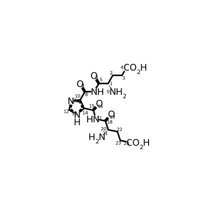 N[C@@H](CCC(=O)O)C(=O)NC(=O)c1nc[nH]c1C(=O)NC(=O)[C@@H](N)CCC(=O)O